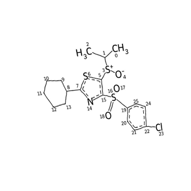 CC(C)[S+]([O-])c1sc(C2CCCCC2)nc1S(=O)(=O)c1ccc(Cl)cc1